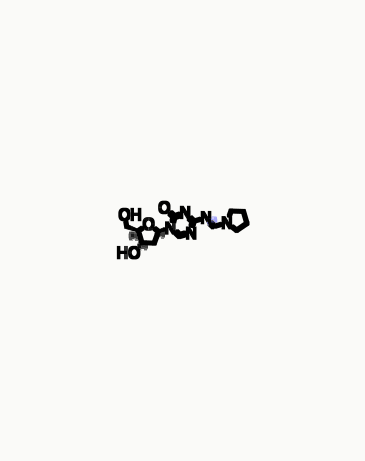 O=c1nc(/N=C/N2CCCC2)ncn1[C@H]1C[C@H](O)[C@@H](CO)O1